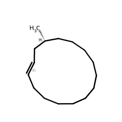 C[C@H]1C/C=C/CCCCCCCCCCC1